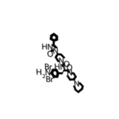 Nc1c(Br)cc(C[C@@H](NC(=O)N2CCC(n3cc(-c4ccccc4)[nH]c3=O)CC2)C(=O)N2CCC(N3CCCCCC3)CC2)cc1Br